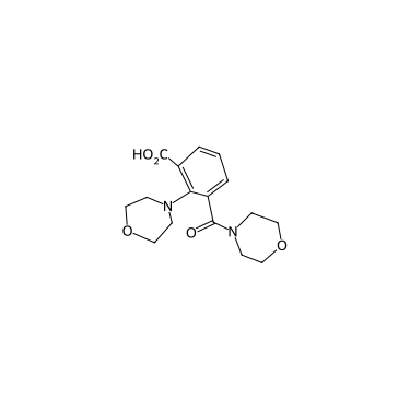 O=C(O)c1cccc(C(=O)N2CCOCC2)c1N1CCOCC1